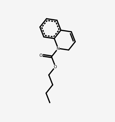 CCCCOC(=O)N1CC=Cc2ccccc21